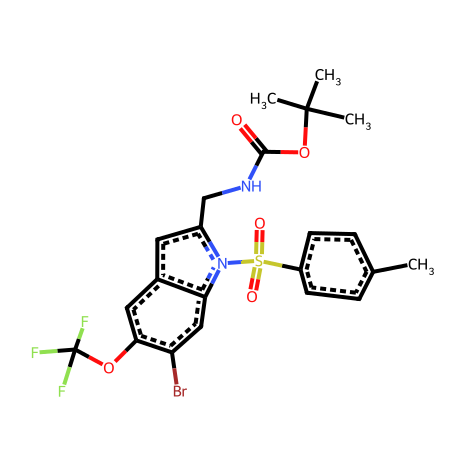 Cc1ccc(S(=O)(=O)n2c(CNC(=O)OC(C)(C)C)cc3cc(OC(F)(F)F)c(Br)cc32)cc1